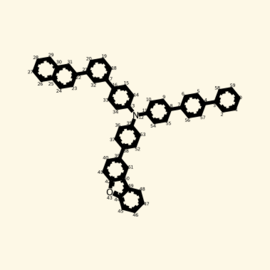 c1ccc(-c2ccc(-c3ccc(N(c4ccc(-c5cccc(-c6ccc7ccccc7c6)c5)cc4)c4ccc(-c5ccc6oc7ccccc7c6c5)cc4)cc3)cc2)cc1